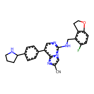 N#Cc1cn2c(NCc3c(F)ccc4c3CCO4)ncc(-c3ccc(C4CCCN4)cc3)c2n1